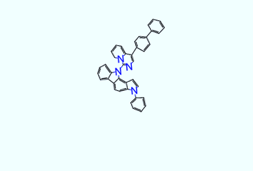 C1=CCN2C(=C1)C(c1ccc(-c3ccccc3)cc1)=CN=C2n1c2ccccc2c2ccc3c(ccn3-c3ccccc3)c21